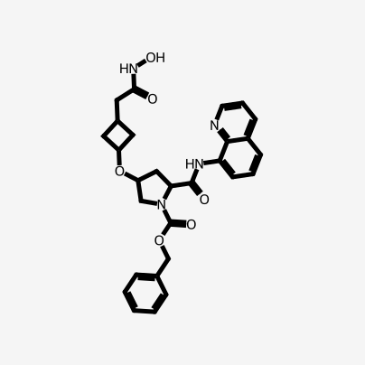 O=C(CC1CC(OC2CC(C(=O)Nc3cccc4cccnc34)N(C(=O)OCc3ccccc3)C2)C1)NO